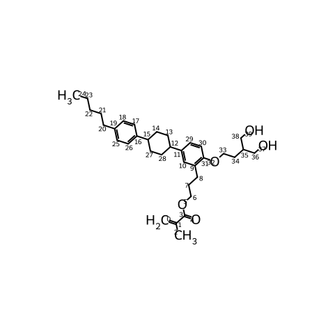 C=C(C)C(=O)OCCCc1cc(C2CCC(c3ccc(CCCCC)cc3)CC2)ccc1OCCC(CO)CO